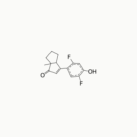 CC12CCCC1C(c1cc(F)c(O)cc1F)=CC2=O